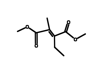 CC/C(C(=O)OC)=C(/C)C(=O)OC